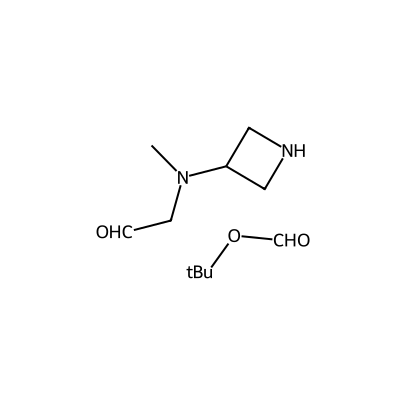 CC(C)(C)OC=O.CN(CC=O)C1CNC1